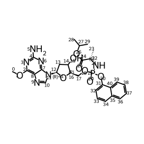 COc1nc(N)nc2c1ncn2[C@H]1CC(O)[C@@H](COP(=O)(N[C@@H](C)C(=O)OC(C)C)Oc2cccc3ccccc23)O1